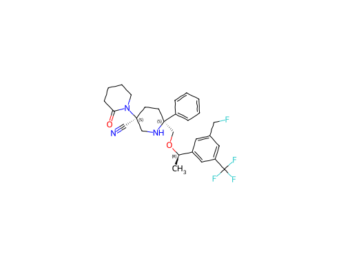 C[C@@H](OC[C@@]1(c2ccccc2)CC[C@](C#N)(N2CCCCC2=O)CN1)c1cc(CF)cc(C(F)(F)F)c1